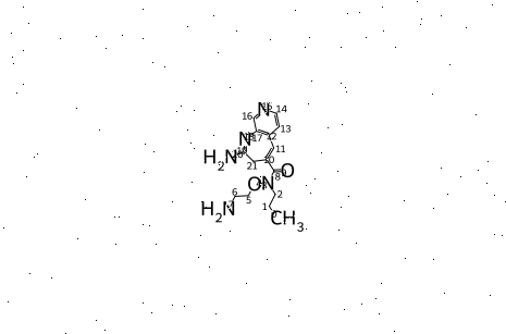 CCCN(OCCN)C(=O)C1=Cc2ccncc2N=C(N)C1